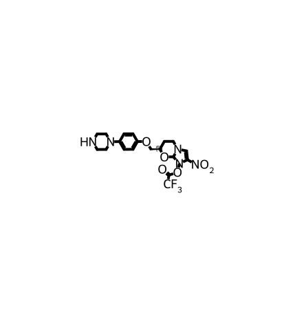 O=C(ON1C([N+](=O)[O-])=CN2CC[C@H](COc3ccc(N4CCNCC4)cc3)OC21)C(F)(F)F